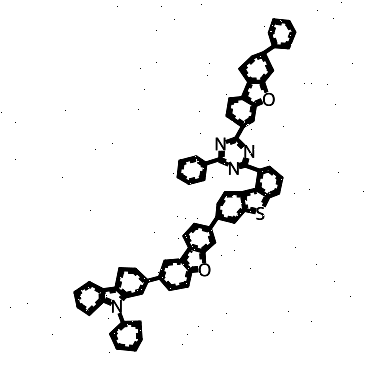 c1ccc(-c2ccc3c(c2)oc2cc(-c4nc(-c5ccccc5)nc(-c5cccc6sc7cc(-c8ccc9c(c8)oc8ccc(-c%10ccc%11c%12ccccc%12n(-c%12ccccc%12)c%11c%10)cc89)ccc7c56)n4)ccc23)cc1